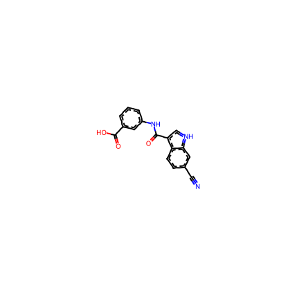 N#Cc1ccc2c(C(=O)Nc3cccc(C(=O)O)c3)c[nH]c2c1